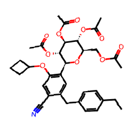 CCc1ccc(Cc2cc([C@@H]3O[C@H](COC(C)=O)[C@@H](OC(C)=O)[C@H](OC(C)=O)[C@H]3OC(C)=O)c(OC3CCC3)cc2C#N)cc1